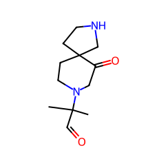 CC(C)(C=O)N1CCC2(CCNC2)C(=O)C1